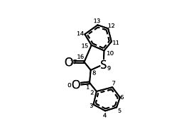 O=C(c1ccccc1)C1Sc2ccccc2C1=O